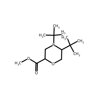 COC(=O)C1CN(C(C)(C)C)C(C(C)(C)C)CO1